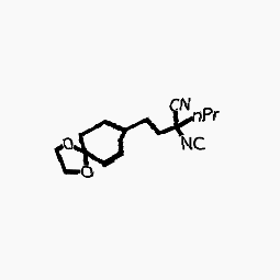 [C-]#[N+]C(C#N)(CCC)CCC1CCC2(CC1)OCCO2